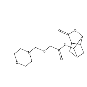 O=C(COCN1CCOCC1)OC1C2CC3C(=O)OC1C3C2